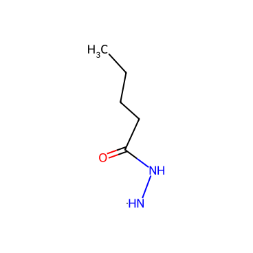 CCCCC(=O)N[NH]